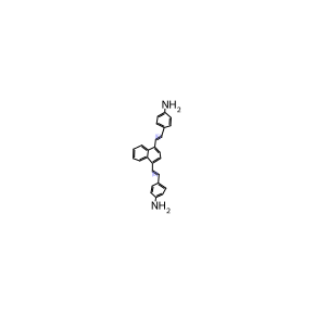 Nc1ccc(/C=C/c2ccc(/C=C/c3ccc(N)cc3)c3ccccc23)cc1